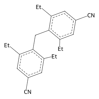 CCc1cc(C#N)cc(CC)c1Cc1c(CC)cc(C#N)cc1CC